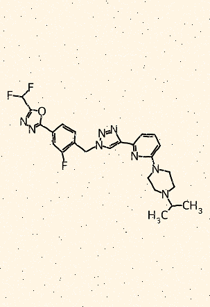 CC(C)N1CCN(c2cccc(-c3cn(Cc4ccc(-c5nnc(C(F)F)o5)cc4F)nn3)n2)CC1